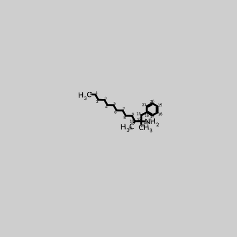 CCCCCCCCCCC(C)C(C)(N)Cc1ccccc1